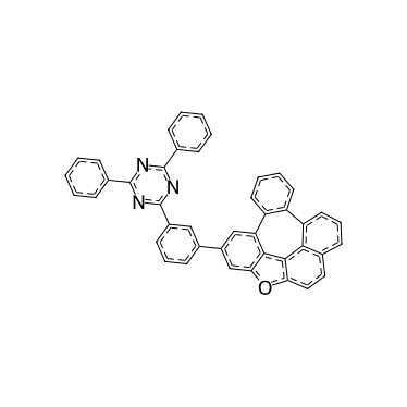 c1ccc(-c2nc(-c3ccccc3)nc(-c3cccc(-c4cc5c6c(c4)oc4ccc7cccc(c7c46)-c4ccccc4-5)c3)n2)cc1